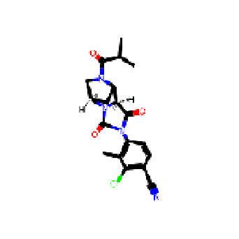 Cc1c(N2C(=O)[C@@H]3C4C[C@H](CN4C(=O)C(C)C)N3C2=O)ccc(C#N)c1Cl